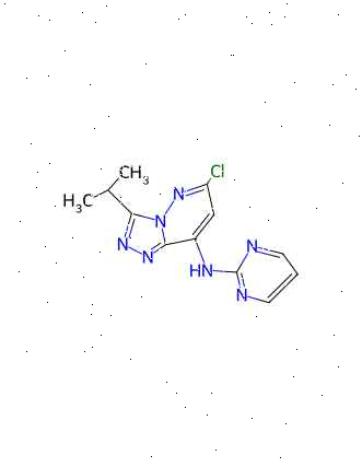 CC(C)c1nnc2c(Nc3ncccn3)cc(Cl)nn12